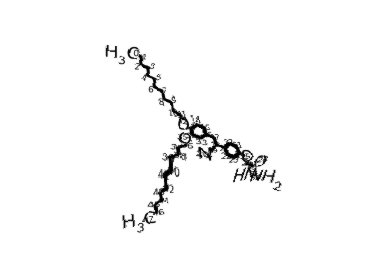 CCCCCCCCCCCCOc1ccc(/C=C(\C#N)c2ccc(OCC(=O)NN)cc2)cc1OCCCCCCCCCCCC